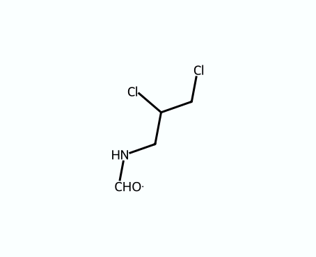 O=[C]NCC(Cl)CCl